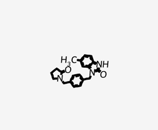 Cc1ccc2[nH]c(=O)n(Cc3ccc(CN4CCCC4=O)cc3)c2c1